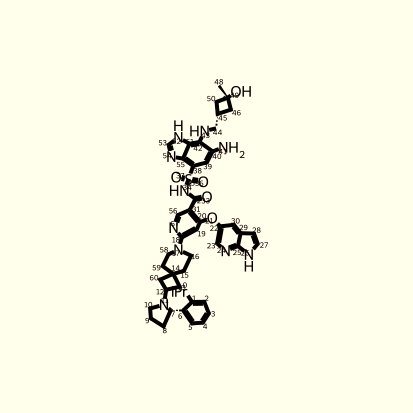 CC(C)c1ccccc1[C@@H]1CCCN1C1CC2(CCN(c3cc(Oc4cnc5[nH]ccc5c4)c(C(=O)NS(=O)(=O)c4cc(N)c(NC[C@H]5C[C@@](C)(O)C5)c5[nH]cnc45)cn3)CC2)C1